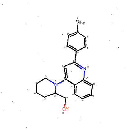 COc1ccc(-c2cc(N3CCCCC3CO)c3ccccc3n2)cc1